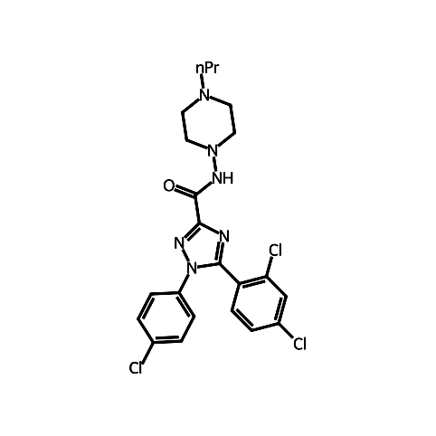 CCCN1CCN(NC(=O)c2nc(-c3ccc(Cl)cc3Cl)n(-c3ccc(Cl)cc3)n2)CC1